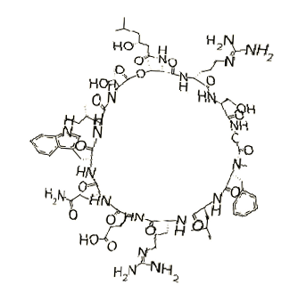 CC[C@H](C)[C@@H]1NC(=O)[C@@H](Cc2c[nH]c3ccccc23)NC(=O)[C@@H](CCC(N)=O)NC(=O)[C@H](CCC(=O)O)NC(=O)[C@@H](CCCN=C(N)N)NC(=O)[C@H](CC(C)C)NC(=O)[C@@H](Cc2ccccc2)N(C)C(=O)CNC(=O)[C@H](CO)NC(=O)[C@@H](CCCN=C(N)N)NC(=O)[C@@H](NC(=O)C[C@H](O)CC(C)C)[C@@H](C)OC(=O)[C@H]([C@@H](C)O)NC1=O